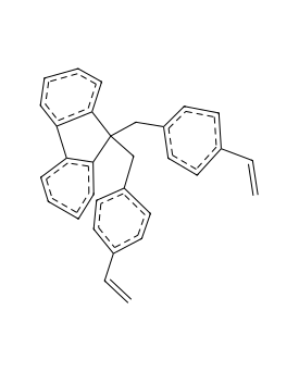 C=Cc1ccc(CC2(Cc3ccc(C=C)cc3)c3ccccc3-c3ccccc32)cc1